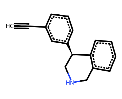 C#Cc1cccc([C@@H]2CNCc3ccccc32)c1